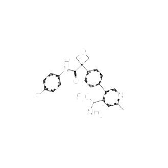 Cc1cc([C@@H](N)C(F)(F)F)c(-c2ccc(C3(C(=O)Nc4ccc(F)cc4)COC3)cc2)cn1